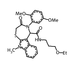 CCOCCCNC(=O)C1c2c(n(C)c3ccccc23)SCC(=O)N1c1cc(OC)ccc1OC